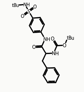 CC(C)(C)NS(=O)(=O)c1ccc(NC(=O)C(Cc2ccccc2)NC(=O)OC(C)(C)C)cc1